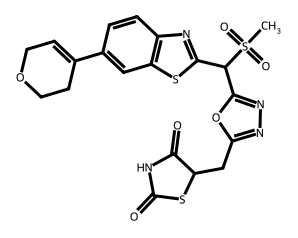 CS(=O)(=O)C(c1nnc(CC2SC(=O)NC2=O)o1)c1nc2ccc(C3=CCOCC3)cc2s1